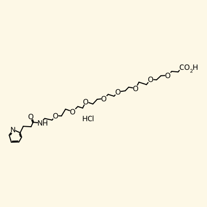 Cl.O=C(O)CCOCCOCCOCCOCCOCCOCCOCCOCCNC(=O)CCc1ccccn1